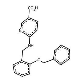 O=C(O)c1ccc(NCc2ccccc2OCc2ccccc2)nc1